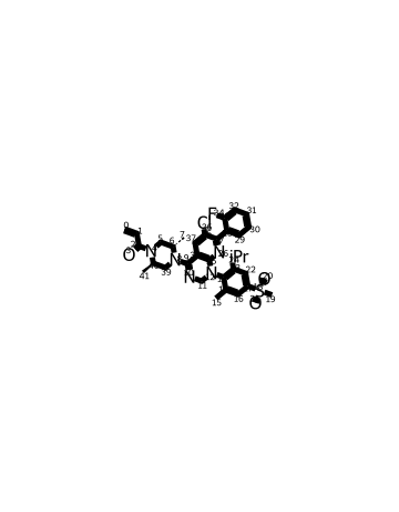 C=CC(=O)N1C[C@H](C)N(C2=NCN(c3c(C)cc(S(C)(=O)=O)cc3C(C)C)c3nc(-c4ccccc4F)c(Cl)cc32)C[C@H]1C